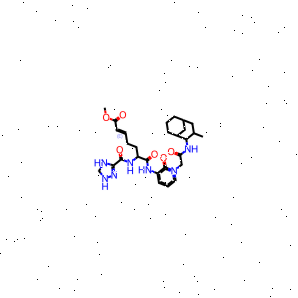 COC(=O)/C=C/CCC(NC(=O)C1=NNCN1)C(=O)Nc1cccn(CC(=O)NC2C(C)CC3CCCC2C3)c1=O